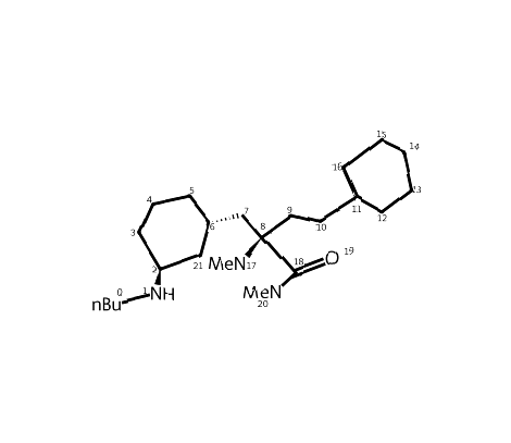 CCCCN[C@H]1CCC[C@H](C[C@@](CCC2CCCCC2)(NC)C(=O)NC)C1